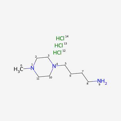 CN1CCN(CCCCN)CC1.Cl.Cl.Cl